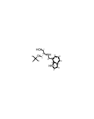 CC(C)(C)OC[C@H](CO)NCc1cccc2cc[nH]c12